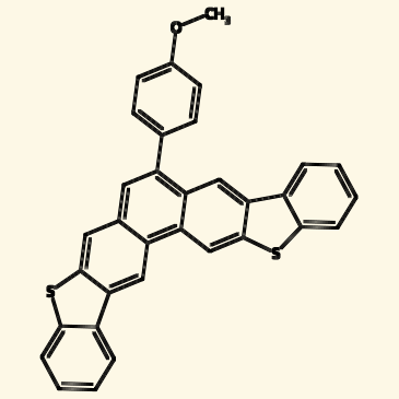 COc1ccc(-c2cc3cc4sc5ccccc5c4cc3c3cc4sc5ccccc5c4cc23)cc1